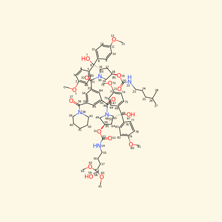 COc1ccc(C(O)(c2ccc(OC)cc2)[C@@H]2C[C@@H](OC(=O)NCCCC(C)C)CN2C(=O)c2cc(C(=O)N3CCCCC3)cc(C(=O)N3C[C@H](OC(=O)NCCC[Si](O)(OC)OC)C[C@H]3C(O)(c3ccc(OC)cc3)c3ccc(OC)cc3)c2)cc1